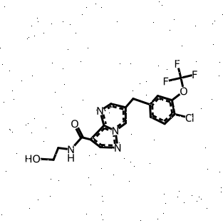 O=C(NCCO)c1cnn2cc(Cc3ccc(Cl)c(OC(F)(F)F)c3)cnc12